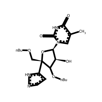 CCCCOC[C@@]1(c2ccn[nH]2)O[C@@H](n2cc(C)c(=O)[nH]c2=O)[C@@H](O)C1OCCCC